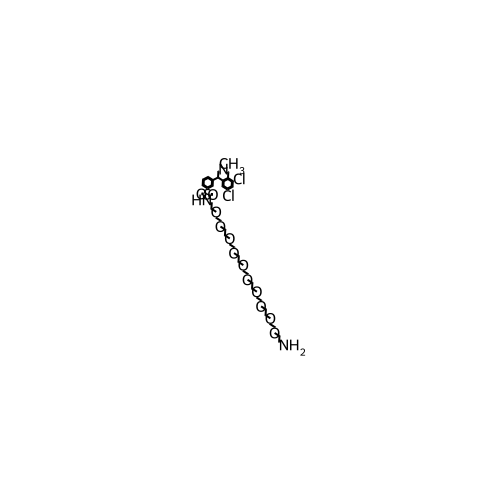 CN1Cc2c(Cl)cc(Cl)cc2C(c2cccc(S(=O)(=O)NCCOCCOCCOCCOCCOCCOCCOCCOCCOCCOCCN)c2)C1